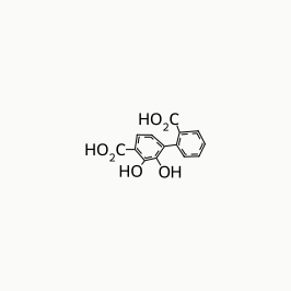 O=C(O)c1ccccc1-c1ccc(C(=O)O)c(O)c1O